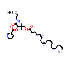 CC/C=C\C/C=C\C/C=C\C/C=C\C/C=C\CCCC(=O)OCC(C)(C)[C@H](OC(=O)c1cccnc1)C(=O)NCCC(=O)O